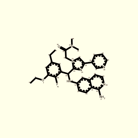 CCOc1cc(CC)cc(C(Nc2ccc3c(N)nccc3c2)c2nc(-c3cccnc3)cn2CC(=O)N(C)C)c1F